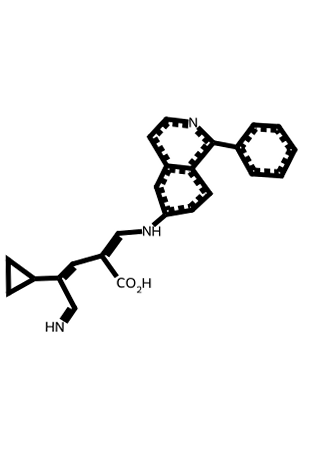 N=C/C(=C\C(=C\Nc1ccc2c(-c3ccccc3)nccc2c1)C(=O)O)C1CC1